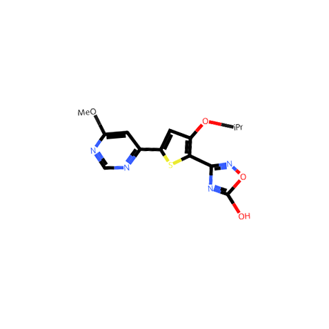 COc1cc(-c2cc(OC(C)C)c(-c3noc(O)n3)s2)ncn1